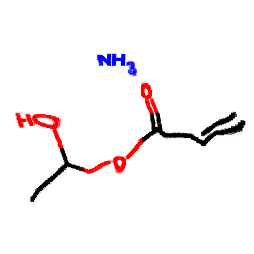 C=CC(=O)OC(C)O.N